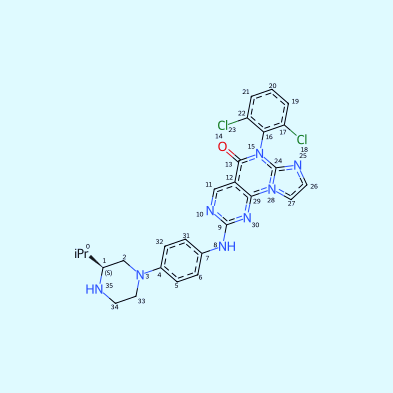 CC(C)[C@H]1CN(c2ccc(Nc3ncc4c(=O)n(-c5c(Cl)cccc5Cl)c5nccn5c4n3)cc2)CCN1